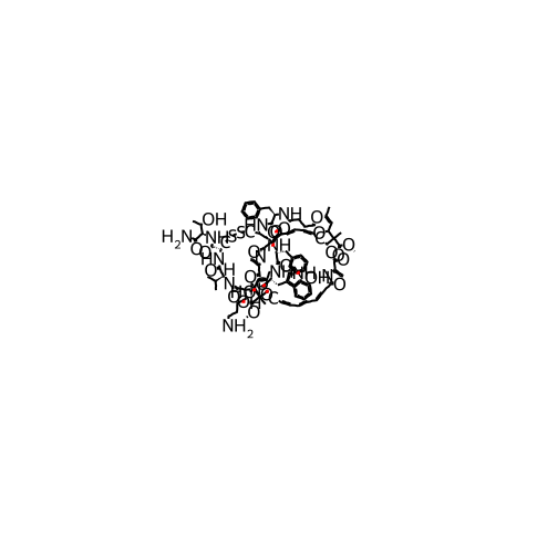 C/C=C/C(O)C(C)(C(=O)OC)C1C\C=C/C=C/C=C/c2nc(co2)C(=O)OC(C(C)(C(=O)OC)C(/C=C/C)OC(=O)CCC(=O)N[C@H](Cc2ccccc2)C(=O)N[C@H]2CSSC[C@@H](C(=O)N[C@@H](C(N)=O)C(C)O)NC(=O)[C@H](C(C)C)NC(=O)[C@H](CCCCN)NC(=O)[C@@H](Cc3c[nH]c4ccccc34)NC(=O)[C@@H](Cc3ccc(O)cc3)NC2=O)C\C=C/C=C/C=C/c2nc(co2)C(=O)O1